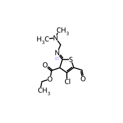 CCOC(=O)C1C(Cl)=C(C=O)S/C1=N\CN(C)C